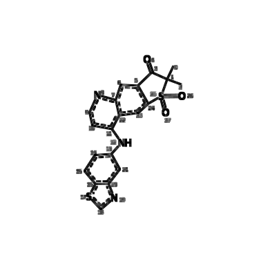 CC1(C)C(=O)c2cc3nccc(Nc4ccc5scnc5c4)c3cc2S1(=O)=O